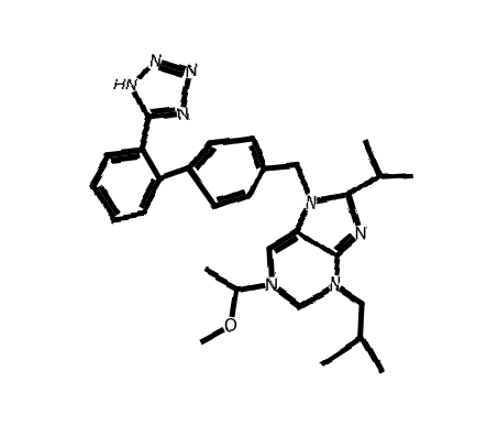 COC(C)N1C=C2C(=NC(C(C)C)N2Cc2ccc(-c3ccccc3-c3nnn[nH]3)cc2)N(CC(C)C)C1